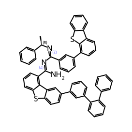 C[C@@H](/N=C(\N=C(/N)c1cccc2sc3ccc(-c4cccc(-c5ccccc5-c5ccccc5)c4)cc3c12)c1cccc(-c2cccc3c2sc2ccccc23)c1)c1ccccc1